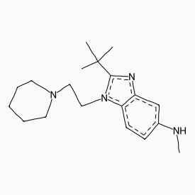 CNc1ccc2c(c1)nc(C(C)(C)C)n2CCN1CCCCC1